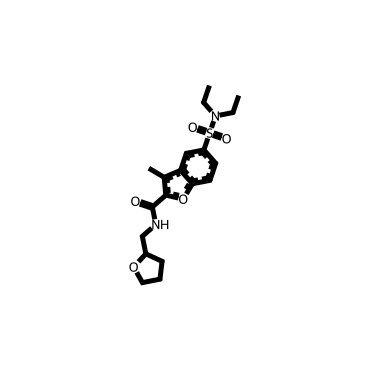 CCN(CC)S(=O)(=O)c1ccc2oc(C(=O)NCC3CCCO3)c(C)c2c1